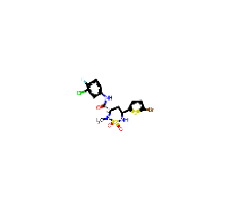 CN1[C@H](C(=O)Nc2ccc(F)c(Cl)c2)CC(c2ccc(Br)s2)NS1(=O)=O